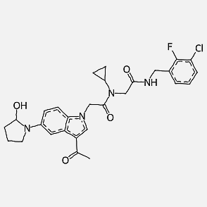 CC(=O)c1cn(CC(=O)N(CC(=O)NCc2cccc(Cl)c2F)C2CC2)c2ccc(N3CCCC3O)cc12